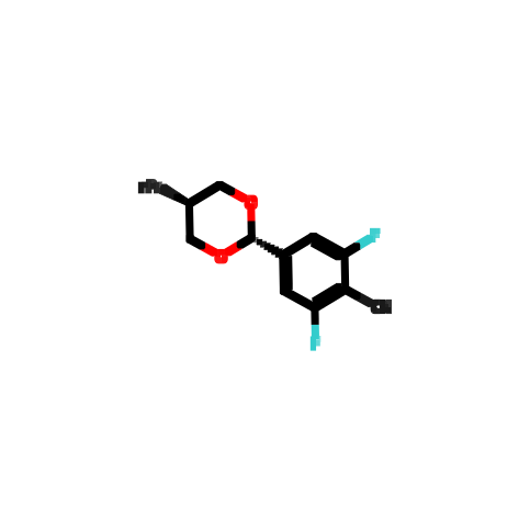 CCC[C@H]1CO[C@H](c2cc(F)c(C#N)c(F)c2)OC1